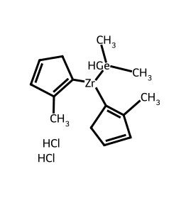 CC1=[C]([Zr]([C]2=C(C)C=CC2)[GeH]([CH3])[CH3])CC=C1.Cl.Cl